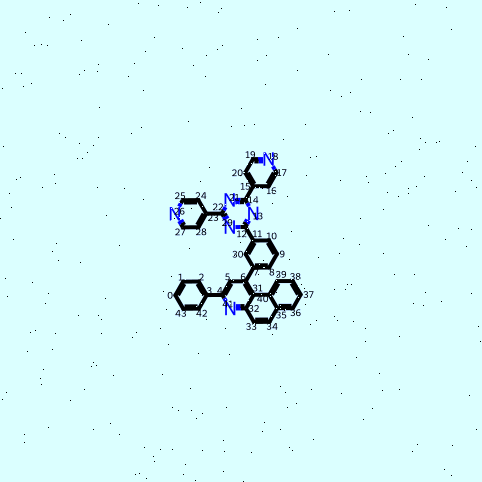 c1ccc(-c2cc(-c3cccc(-c4nc(-c5ccncc5)nc(-c5ccncc5)n4)c3)c3c(ccc4ccccc43)n2)cc1